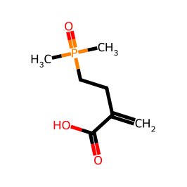 C=C(CCP(C)(C)=O)C(=O)O